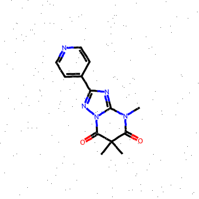 CN1C(=O)C(C)(C)C(=O)n2nc(-c3ccncc3)nc21